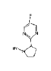 CC(C)N1CCCC1c1ncc(F)cn1